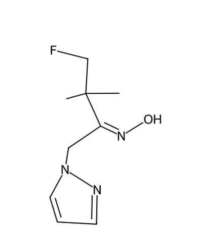 CC(C)(CF)C(Cn1cccn1)=NO